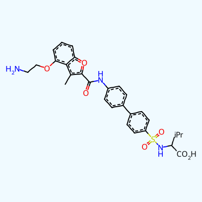 Cc1c(C(=O)Nc2ccc(-c3ccc(S(=O)(=O)NC(C(=O)O)C(C)C)cc3)cc2)oc2cccc(OCCN)c12